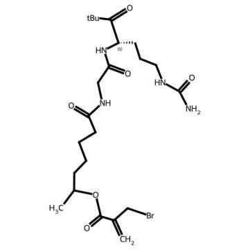 C=C(CBr)C(=O)OC(C)CCCCC(=O)NCC(=O)N[C@@H](CCCNC(N)=O)C(=O)C(C)(C)C